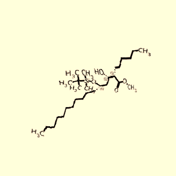 CCCCCCCCCCC[C@@H](C[C@H](O)[C@H](CCCCCC)C(=O)OC)O[Si](C)(C)C(C)(C)C